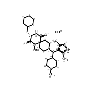 CCCCN1C(=O)[C@H](CC2CCCCC2)NC(=O)C12CCN(C(c1c(C)n[nH]c1C)C1CCN(C)CC1)CC2.Cl